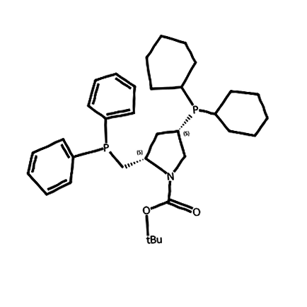 CC(C)(C)OC(=O)N1C[C@@H](P(C2CCCCC2)C2CCCCC2)C[C@H]1CP(c1ccccc1)c1ccccc1